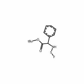 CC(C)(C)OC(=O)C(NSF)c1ccccc1